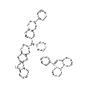 C1=CC2C(c3cccc(-c4cccc(N(c5ccc6ccc(-c7ccccc7)cc6c5)c5ccc6cc7oc8ccccc8c7cc6c5)c4)c3)=Cc3ccccc3C2C=C1